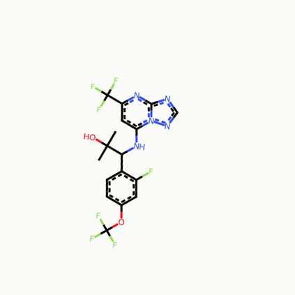 CC(C)(O)C(Nc1cc(C(F)(F)F)nc2ncnn12)c1ccc(OC(F)(F)F)cc1F